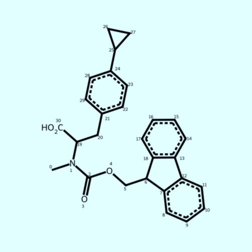 CN(C(=O)OCC1c2ccccc2-c2ccccc21)C(Cc1ccc(C2CC2)cc1)C(=O)O